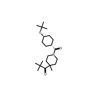 CC(C)(C)O[C@H]1CC[C@H](C(=O)N2CCC(C)(C(=O)C(C)(C)C)CC2)CC1